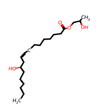 CCCCCC[C@@H](O)C/C=C\CCCCCCCC(=O)OCC(C)O